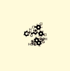 O=C(NN1CCCCC1)C1=NN(c2ccc(Cl)cc2Cl)[C@H](c2ccc(Cl)cc2)C1.O=S(=O)(O)c1cccc2c(S(=O)(=O)O)cccc12